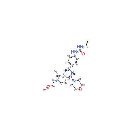 CCNC(=O)Nc1ccc(-c2nc3c(c(N4CCOCC4)n2)CCN(CCOC)[C@@H]3C)cc1